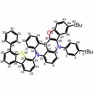 CC(C)(C)c1ccc(N2c3cccc4c3B(c3ccccc3N4c3cccc4c3sc3c(-c5ccccc5)cccc34)c3oc4ccc(C(C)(C)C)cc4c32)cc1